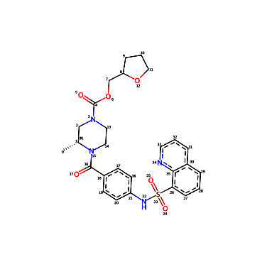 C[C@@H]1CN(C(=O)OCC2CCCO2)CCN1C(=O)c1ccc(NS(=O)(=O)c2cccc3cccnc23)cc1